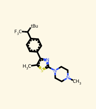 Cc1sc(N2CCN(C)CC2)nc1-c1ccc(C(C(C)(C)C)C(F)(F)F)cc1